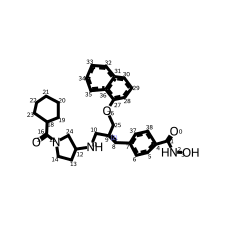 O=C(NO)c1ccc(/C=C(/CNC2CCN(C(=O)C3CCCCC3)C2)COc2cccc3ccccc23)cc1